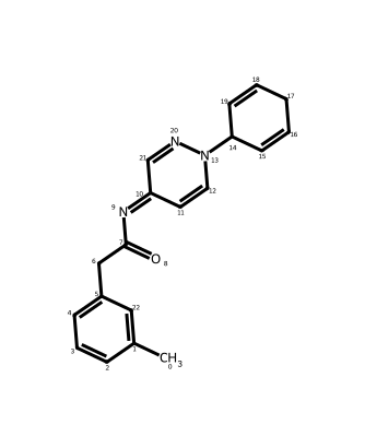 Cc1cccc(CC(=O)N=c2ccn(C3C=CCC=C3)nc2)c1